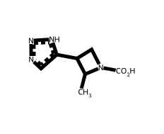 CC1C(c2cnn[nH]2)CN1C(=O)O